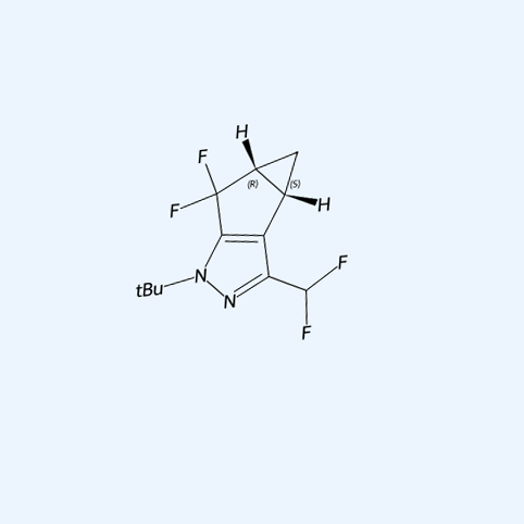 CC(C)(C)n1nc(C(F)F)c2c1C(F)(F)[C@@H]1C[C@H]21